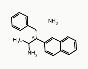 CC(N)[C@H](Cc1ccccc1)c1ccc2ccccc2c1.N